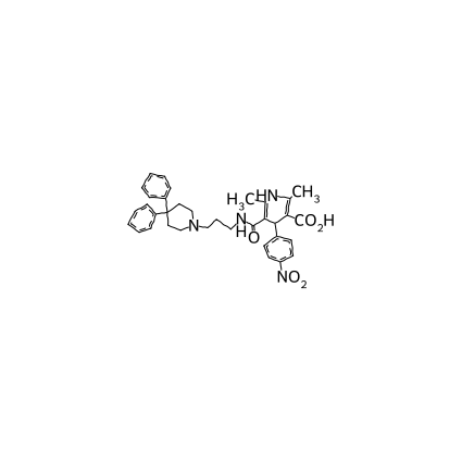 CC1=C(C(=O)O)C(c2ccc([N+](=O)[O-])cc2)C(C(=O)NCCCN2CCC(c3ccccc3)(c3ccccc3)CC2)=C(C)N1